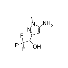 Cn1nc(C(O)C(F)(F)F)cc1N